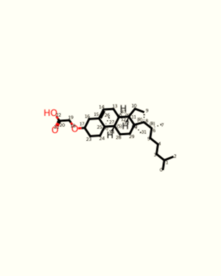 CC(C)CCC[C@@H](C)[C@H]1CC[C@H]2[C@@H]3CC=C4CC(OCC(=O)O)CC[C@]4(C)[C@H]3CC[C@]12C